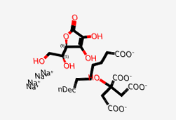 CCCCCCCCCCCCCCCC(=O)[O-].O=C([O-])CC(O)(CC(=O)[O-])C(=O)[O-].O=C1O[C@H]([C@@H](O)CO)C(O)=C1O.[Na+].[Na+].[Na+].[Na+]